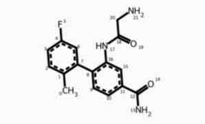 Cc1ccc(F)cc1-c1ccc(C(N)=O)cc1NC(=O)CN